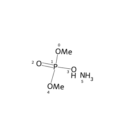 COP(=O)(O)OC.N